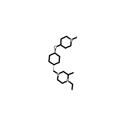 CCN1CCN(C[C@H]2CC[C@H](OC3CCN(I)CC3)CC2)CC1C